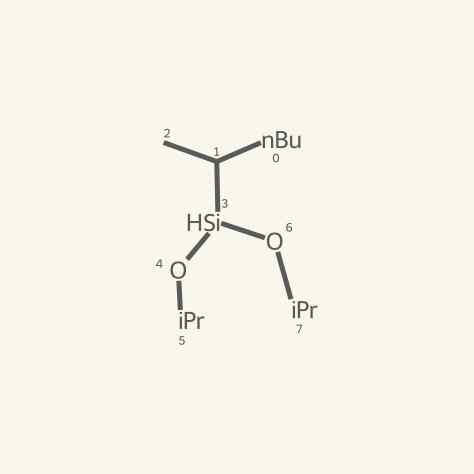 CCCCC(C)[SiH](OC(C)C)OC(C)C